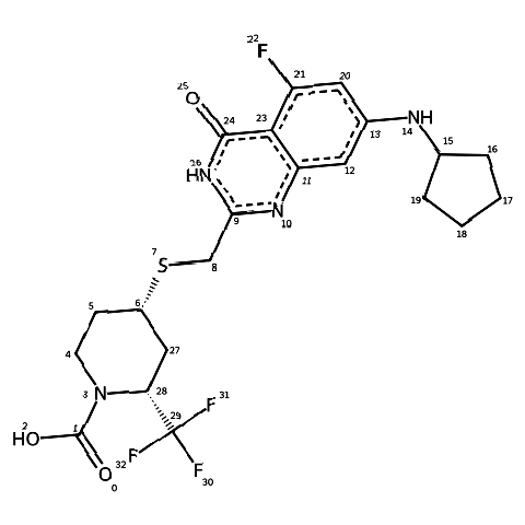 O=C(O)N1CC[C@H](SCc2nc3cc(NC4CCCC4)cc(F)c3c(=O)[nH]2)C[C@@H]1C(F)(F)F